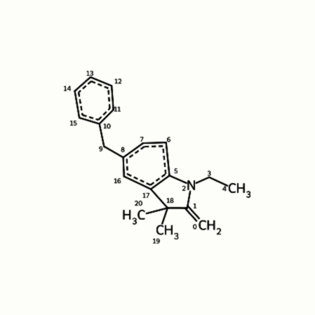 C=C1N(CC)c2ccc(Cc3ccccc3)cc2C1(C)C